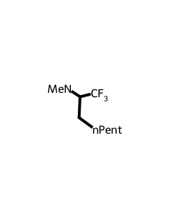 CCCCCCC(NC)C(F)(F)F